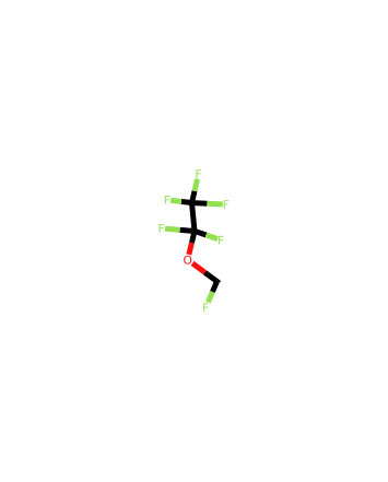 F[CH]OC(F)(F)C(F)(F)F